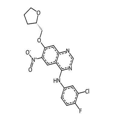 O=[N+]([O-])c1cc2c(Nc3ccc(F)c(Cl)c3)ncnc2cc1OC[C@@H]1CCCO1